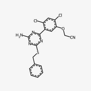 N#CCOc1cc(-c2nc(N)nc(SCc3ccccc3)n2)c(Cl)cc1Cl